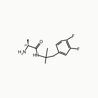 C[C@H](N)C(=O)NC(C)(C)Cc1ccc(F)c(F)c1